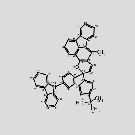 Cc1c2c(c3cccc4c3c1-c1ccccc1-4)OC(c1ccc(-n3c4ccccc4c4ccccc43)cc1)(c1ccc(C(C)(C)C)cc1)C=C2